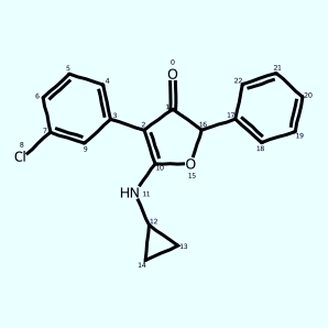 O=C1C(c2cccc(Cl)c2)=C(NC2CC2)OC1c1ccccc1